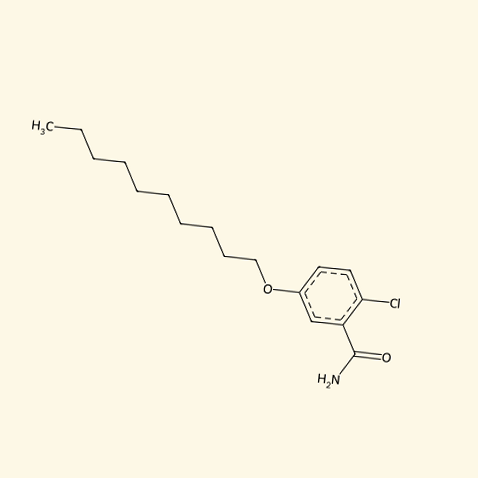 CCCCCCCCCCOc1ccc(Cl)c(C(N)=O)c1